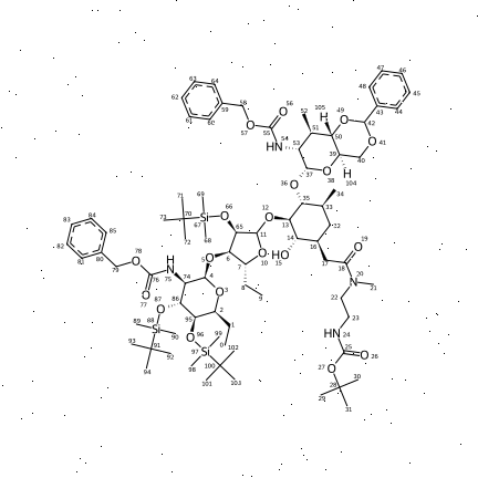 CC[C@@H]1O[C@H](O[C@@H]2[C@@H](CC)OC(O[C@@H]3[C@@H](O)[C@H](CC(=O)N(C)CCNC(=O)OC(C)(C)C)C[C@H](C)[C@H]3O[C@H]3O[C@@H]4COC(c5ccccc5)O[C@H]4[C@H](C)[C@H]3NC(=O)OCc3ccccc3)[C@@H]2O[Si](C)(C)C(C)(C)C)[C@H](NC(=O)OCc2ccccc2)[C@@H](O[Si](C)(C)C(C)(C)C)[C@@H]1O[Si](C)(C)C(C)(C)C